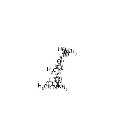 Cc1ccc2c(c1)nc(N)c1ncc(CCc3ccc(OCCCCP(C)(=O)O)cc3C)cc12